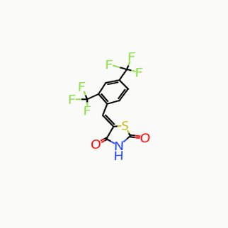 O=C1NC(=O)C(=Cc2ccc(C(F)(F)F)cc2C(F)(F)F)S1